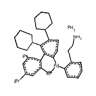 CC(C)c1cc(C(C)C)c(-c2[c]([Pd]([Cl])[c]3ccccc3CCN)ccc(C3CCCCC3)c2C2CCCCC2)c(C(C)C)c1.P